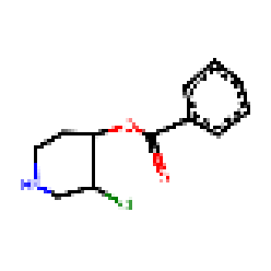 O=C(OC1CCNCC1Cl)c1ccccc1